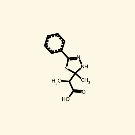 CC(C(=O)O)C1(C)NN=C(c2ccccc2)S1